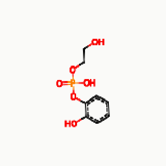 O=P(O)(OCCO)Oc1ccccc1O